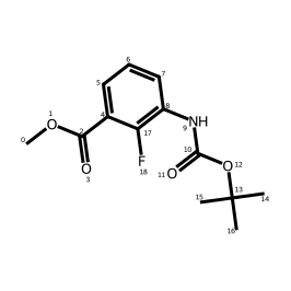 COC(=O)c1cccc(NC(=O)OC(C)(C)C)c1F